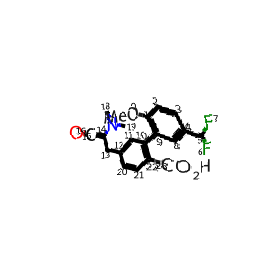 COc1ccc(C(F)F)cc1-c1cc(CC(=C=O)N(C)C)ccc1C(=O)O